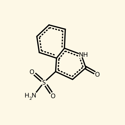 NS(=O)(=O)c1cc(=O)[nH]c2ccccc12